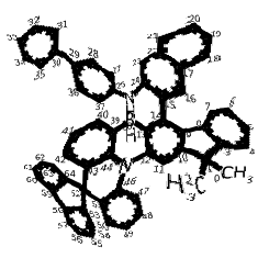 CC1(C)c2ccccc2-c2c1cc1c(c2-c2cc3ccccc3cc2Nc2ccc(-c3ccccc3)cc2)Bc2cccc3c2N1c1ccccc1C31c2ccccc2-c2ccccc21